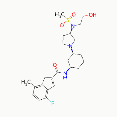 Cc1ccc(F)c2c1CC(C(=O)N[C@@H]1CCC[C@H](N3CC[C@@H](N(CCO)S(C)(=O)=O)C3)C1)=C2